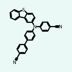 N#Cc1ccc(-c2ccc(N(c3ccc(C#N)cc3)c3ccc4sc5ccccc5c4c3)cc2)cc1